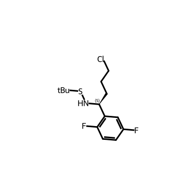 CC(C)(C)SN[C@@H](CCCCl)c1cc(F)ccc1F